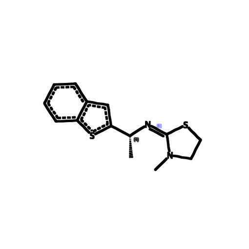 C[C@@H](/N=C1/SCCN1C)c1cc2ccccc2s1